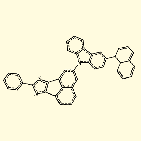 C1=CC2=CC=CC(c3ccc4c(c3)c3ccccc3n4-c3cc4c5c(cccc5c3)-c3nc(-c5ccccc5)sc3-4)C2C=C1